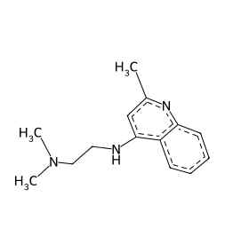 Cc1cc(NCCN(C)C)c2ccccc2n1